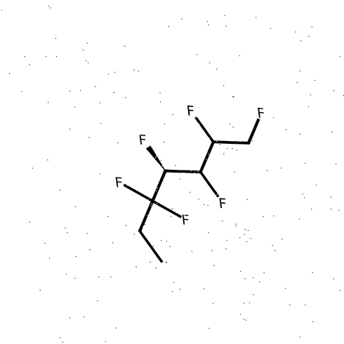 [CH2]CC(F)(F)[C@@H](F)C(F)C(F)CF